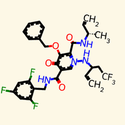 C=CC(CC(F)(F)F)Nn1cc(C(=O)NCc2c(F)cc(F)cc2F)c(=O)c(OCc2ccccc2)c1C(=O)N[C@@H](C)C=C